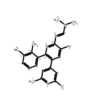 CC(=O)c1cc(-c2cc(C)nc(Cl)c2)c(-c2cccc(C#N)c2C)nc1/N=C/N(C)C